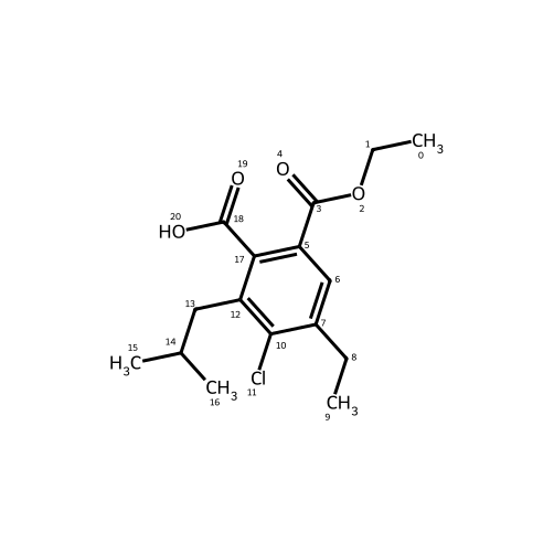 CCOC(=O)c1cc(CC)c(Cl)c(CC(C)C)c1C(=O)O